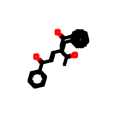 CC(=O)C(C=CC(=O)c1ccccc1)=C[C]12[CH]3[CH]4[CH]5[CH]1[Fe]45321678[CH]2[CH]1[CH]6[C]7(C(C)=O)[CH]28